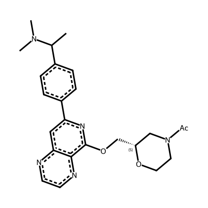 CC(=O)N1CCO[C@H](COc2nc(-c3ccc(C(C)N(C)C)cc3)cc3nccnc23)C1